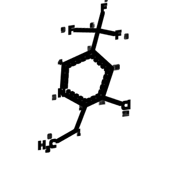 C[CH]c1ncc(C(F)(F)F)cc1Cl